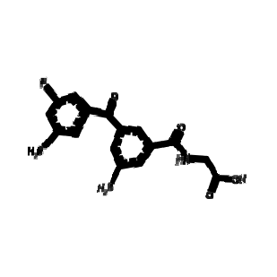 Bc1cc(F)cc(C(=O)c2cc(B)cc(C(=O)NCC(=O)O)c2)c1